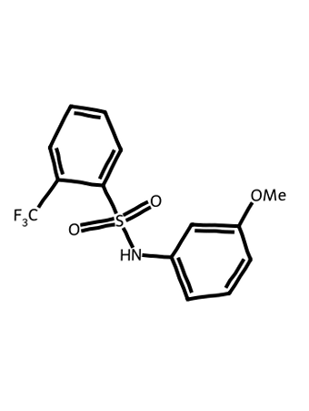 COc1cccc(NS(=O)(=O)c2ccccc2C(F)(F)F)c1